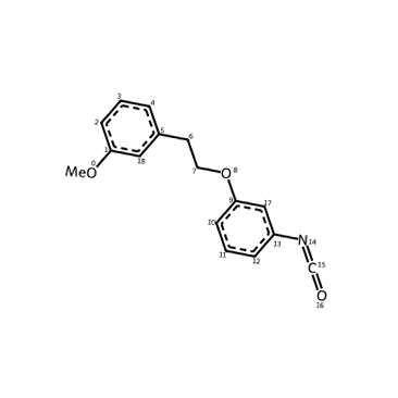 COc1cccc(CCOc2cccc(N=C=O)c2)c1